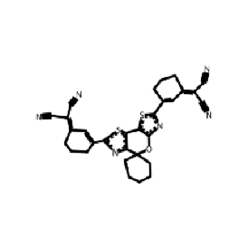 N#CC(C#N)=C1C=C(c2nc3c(s2)-c2sc(C4=CC(=C(C#N)C#N)CCC4)nc2C2(CCCCC2)O3)CCC1